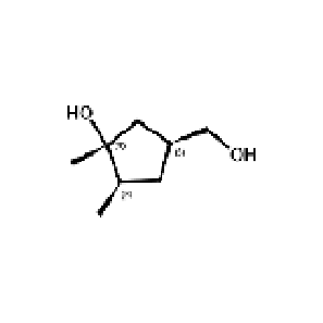 C[C@@H]1C[C@H](CO)C[C@@]1(C)O